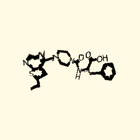 CCc1cc2c(N3CCN(C(=O)N[C@@H](Cc4ccccc4)C(=O)O)CC3)ncnc2s1